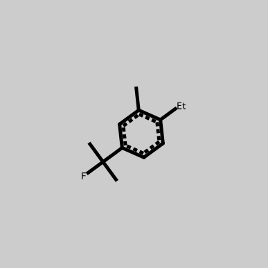 CCc1ccc(C(C)(C)F)cc1C